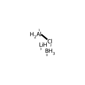 B.[AlH2][Cl].[LiH]